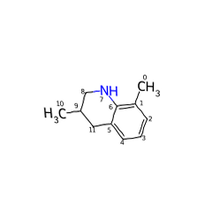 Cc1cccc2c1NCC(C)C2